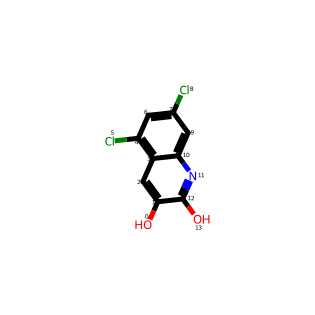 Oc1cc2c(Cl)cc(Cl)cc2nc1O